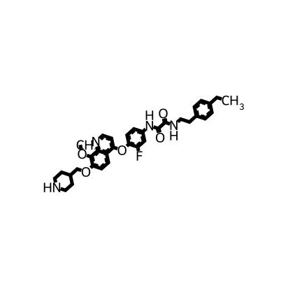 CCc1ccc(CCNC(=O)C(=O)Nc2ccc(Oc3ccnc4c(OC)c(OCC5CCNCC5)ccc34)c(F)c2)cc1